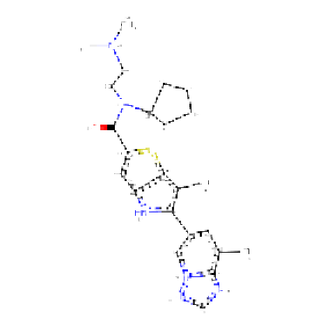 CCc1c(-c2cc(C)c3ncnn3c2)[nH]c2cc(C(=O)N(CCN(C)C)C3CCCC3)sc12